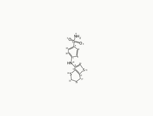 NS(=O)(=O)c1ccc(Nc2csc3c2SCCC3)cc1